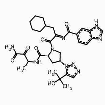 CC(NC(=O)[C@@H]1C[C@H](n2nncc2C(C)(C)O)CN1C(=O)/C(CC1CCCCC1)=N/C(=O)c1ccc2nc[nH]c2c1)C(=O)C(N)=O